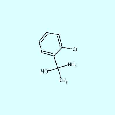 CC(N)(O)c1ccccc1Cl